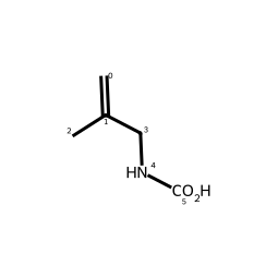 C=C(C)CNC(=O)O